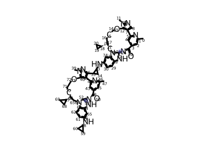 Cc1cc2cc(n1)-c1cnn(C)c1OCCC[C@@H](C1CC1)CN1/C(=N/C2=O)Nc2ccc(NC3CC3c3nn(C)c4c3-c3cc(cc(C)n3)C(=O)/N=C3\Nc5cc(NC6CC6)ccc5N3C[C@H](C3CC3)CCCO4)cc21